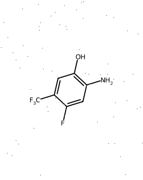 Nc1cc(F)c(C(F)(F)F)cc1O